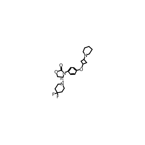 O=C1OC[C@@H](CN2CCC(F)(F)CC2)N1c1ccc(OC2CC(N3CCCCC3)C2)cc1